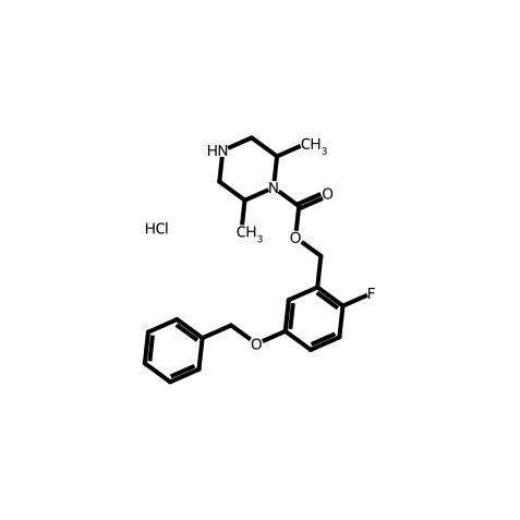 CC1CNCC(C)N1C(=O)OCc1cc(OCc2ccccc2)ccc1F.Cl